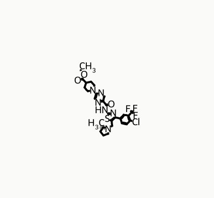 CCOC(=O)C1CCN(c2cnc(C(=O)Nc3nc(-c4ccc(Cl)c(C(F)(F)F)c4)c(CN4CCC[C@H]4C)s3)cn2)CC1